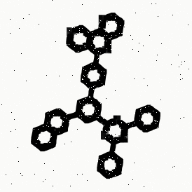 c1ccc(-c2nc(-c3ccccc3)nc(-c3cc(-c4ccc(-c5nc6cccnc6c6cnccc56)cc4)cc(-c4ccc5ccccc5c4)c3)n2)cc1